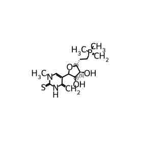 C=C1NC(=S)N(C)C=C1C1O[C@H](CCP(=C)(C)C)[C@@H](O)[C@H]1O